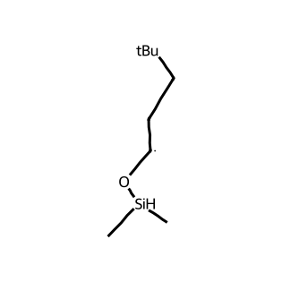 C[SiH](C)O[CH]CCC(C)(C)C